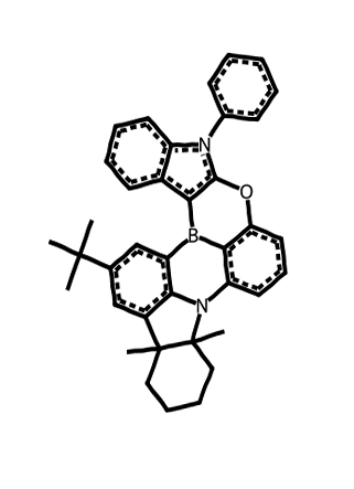 CC(C)(C)c1cc2c3c(c1)C1(C)CCCCC1(C)N3c1cccc3c1B2c1c(n(-c2ccccc2)c2ccccc12)O3